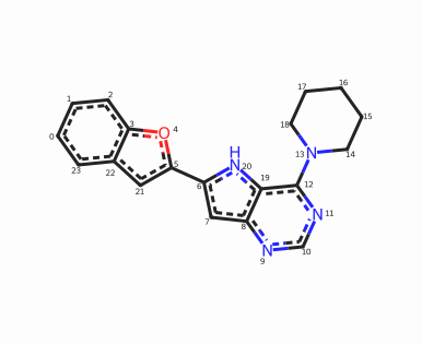 c1ccc2oc(-c3cc4ncnc(N5CCCCC5)c4[nH]3)cc2c1